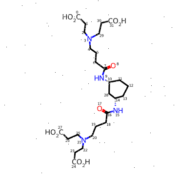 O=C(O)CCN(CCCC(=O)N[C@@H]1CCC[C@H](NC(=O)CCCN(CCC(=O)O)CCC(=O)O)C1)CCC(=O)O